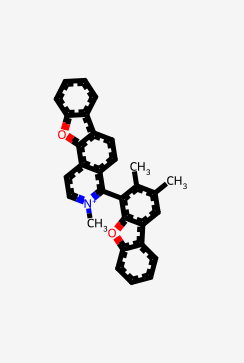 Cc1cc2c(oc3ccccc32)c(-c2c3ccc4c5ccccc5oc4c3cc[n+]2C)c1C